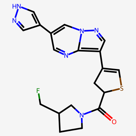 O=C(C1CC(c2cnn3cc(-c4cn[nH]c4)cnc23)=CS1)N1CCC(CF)C1